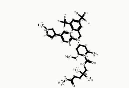 CC[C@@H]1C[C@H](N(Cc2cc(C(F)(F)F)cc(C(F)(F)F)c2)c2ncc(C3C=NN(C)C3)cn2)CC(C)N1C(=O)OCC(C)(C)CCC(=O)OC